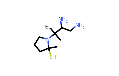 CCC(C)(C(N)CN)N1CCCC1(C)S